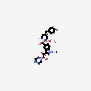 COc1cc2c(cc1C(=O)N1CCC(Cc3ccc(F)cc3)CC1)c(C(=O)C(=O)N1CCNCC1)cn2C